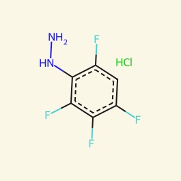 Cl.NNc1c(F)cc(F)c(F)c1F